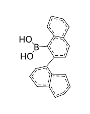 OB(O)c1c(-c2cccc3ccccc23)ccc2ccccc12